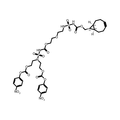 O=C(NS(=O)(=O)NCCOCCOC(=O)NS(=O)(=O)N(CCOC(=O)Oc1ccc([N+](=O)[O-])cc1)CCOC(=O)Oc1ccc([N+](=O)[O-])cc1)OC[C@@H]1[C@@H]2CCC#CCC[C@@H]21